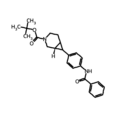 CC(C)(C)OC(=O)N1CCC2C(c3ccc(NC(=O)c4ccccc4)cc3)[C@@H]2C1